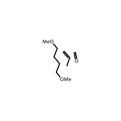 C=CC.C=O.COCCCCOC